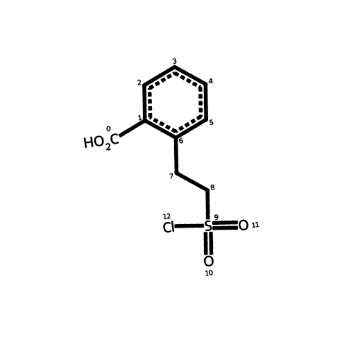 O=C(O)c1ccccc1CCS(=O)(=O)Cl